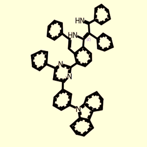 N=C(/C(=C1\NC(c2ccccc2)=Cc2c1cccc2-c1nc(-c2ccccc2)cc(-c2cccc(-n3c4ccccc4c4ccccc43)c2)n1)c1ccccc1)c1ccccc1